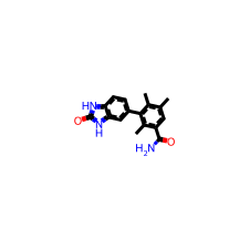 Cc1cc(C(N)=O)c(C)c(-c2ccc3[nH]c(=O)[nH]c3c2)c1C